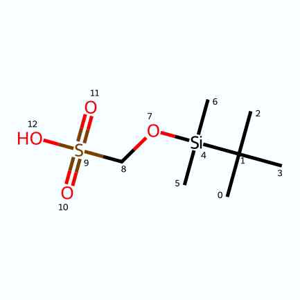 CC(C)(C)[Si](C)(C)OCS(=O)(=O)O